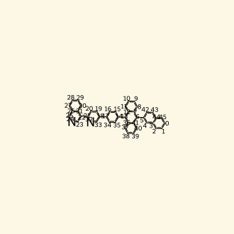 c1ccc2cc(-c3c4ccccc4c(-c4ccc(-c5ccc(-c6cncc7ccccc67)nc5)cc4)c4ccccc34)ccc2c1